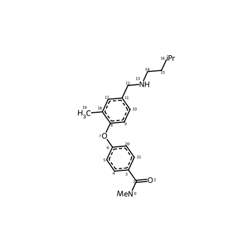 CNC(=O)c1ccc(Oc2ccc(CNCCC(C)C)cc2C)cc1